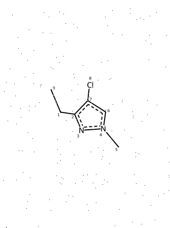 CCc1nn(C)[c]c1Cl